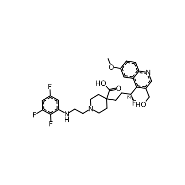 COc1ccc2ncc(CO)c([C@@H](F)CCC3(C(=O)O)CCN(CCNc4cc(F)cc(F)c4F)CC3)c2c1